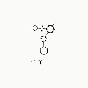 CC(C)OC(=O)NC1CCC(c2ncc(-c3ccc(Br)cc3S(=O)(=O)C3COC3)s2)CC1